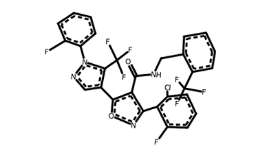 O=C(NCc1ccccc1C(F)(F)F)c1c(-c2c(F)cccc2Cl)noc1-c1cnn(-c2ccccc2F)c1C(F)(F)F